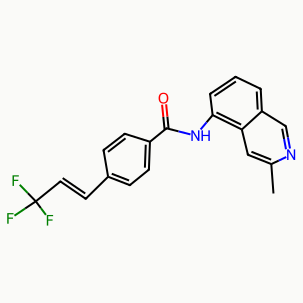 Cc1cc2c(NC(=O)c3ccc(C=CC(F)(F)F)cc3)cccc2cn1